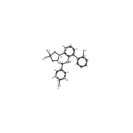 O=C(Nc1c(-c2ccccc2F)ccnc1N1CCC(F)(F)C1)c1cnc(Cl)nc1